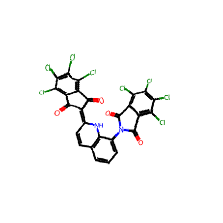 O=C1C(=C2C=Cc3cccc(N4C(=O)c5c(Cl)c(Cl)c(Cl)c(Cl)c5C4=O)c3N2)C(=O)c2c(Cl)c(Cl)c(Cl)c(Cl)c21